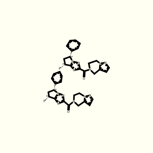 O=C(c1nc2n(n1)[C@@H](c1ccccc1)C[C@H]2F)N1CCn2nccc2C1.O=C(c1nc2n(n1)[C@@H](c1ccccc1)C[C@H]2F)N1CCn2nccc2C1